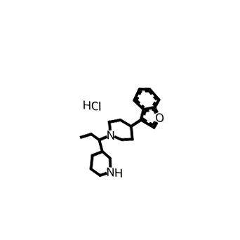 CCC(C1CCCNC1)N1CCC(c2coc3ccccc23)CC1.Cl